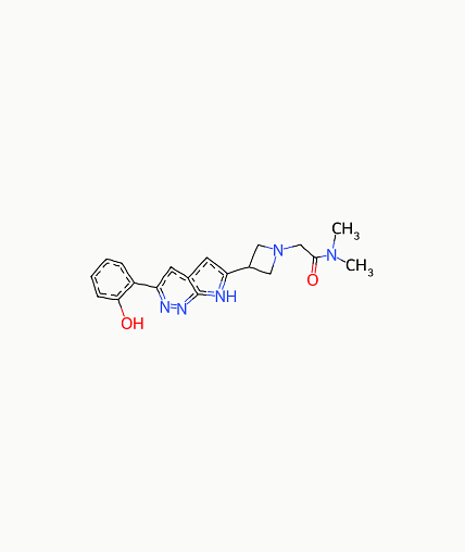 CN(C)C(=O)CN1CC(c2cc3cc(-c4ccccc4O)nnc3[nH]2)C1